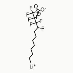 CCCCCCCCC(F)C(F)(F)C(F)(F)C(F)(F)S(=O)(=O)[O-].[Li+]